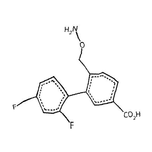 NOCc1ccc(C(=O)O)cc1-c1ccc(F)cc1F